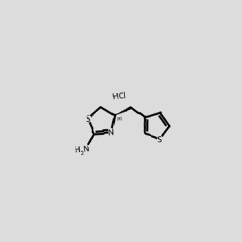 Cl.NC1=N[C@H](Cc2ccsc2)CS1